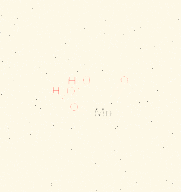 O.O.[O]=[Mn]=[O]